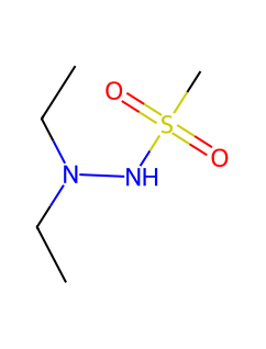 CCN(CC)NS(C)(=O)=O